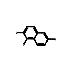 Ic1ccc2c(I)c(I)ccc2c1